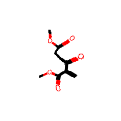 C=C(C(=O)CC(=O)OC)C(=O)OC